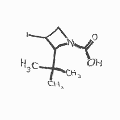 CC(C)(C)C1C(I)CN1C(=O)O